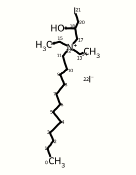 CCCCCCCCCCCC[N+](CC)(CC)CC(O)CI.[I-]